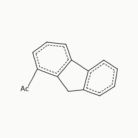 CC(=O)c1cccc2c1Cc1ccccc1-2